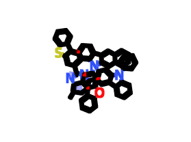 C\C1=C(c2cc(-n3c4ccccc4c4cc5ccccc5cc43)cc3oc4ccccc4c23)/N=C(c2ccc3c(c2)sc2ccccc23)\N=C(\c2ccc3c(c2)c2ccccc2n3-c2ccccc2)CC1